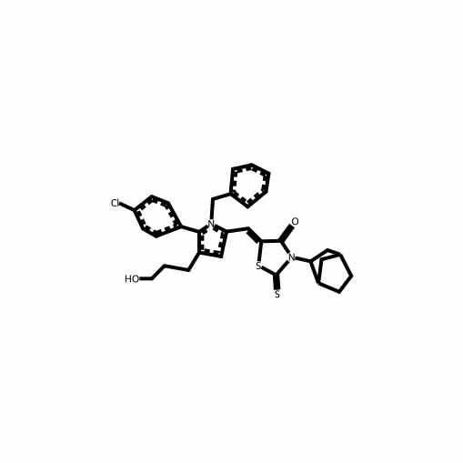 O=C1/C(=C/c2cc(CCCO)c(-c3ccc(Cl)cc3)n2Cc2ccccc2)SC(=S)N1C1CC2CCC1C2